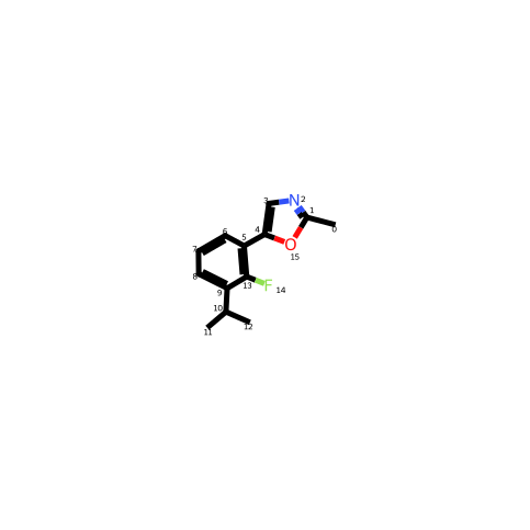 Cc1ncc(-c2cccc(C(C)C)c2F)o1